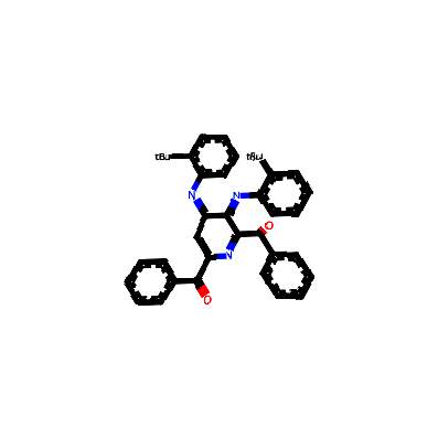 CC(C)(C)c1ccccc1N=C1C=C(C(=O)c2ccccc2)N=C(C(=O)c2ccccc2)C1=Nc1ccccc1C(C)(C)C